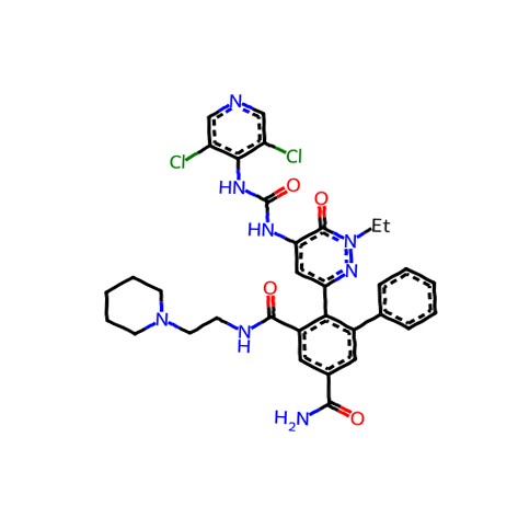 CCn1nc(-c2c(C(=O)NCCN3CCCCC3)cc(C(N)=O)cc2-c2ccccc2)cc(NC(=O)Nc2c(Cl)cncc2Cl)c1=O